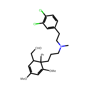 COC1=CC(CC=O)C(CCCN(C)CCc2ccc(Cl)c(Cl)c2)(C(C)C)C(OC)=C1